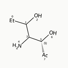 CCC(O)C(N)[C@H](O)C(C)=O